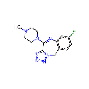 CN1CCN(C2=Nc3cc(Cl)ccc3Cn3nnnc32)CC1